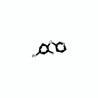 CC(C)c1ccc(Oc2cccnc2)c(F)c1